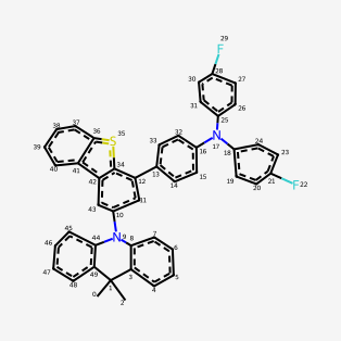 CC1(C)c2ccccc2N(c2cc(-c3ccc(N(c4ccc(F)cc4)c4ccc(F)cc4)cc3)c3sc4ccccc4c3c2)c2ccccc21